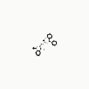 CN1C(=O)[C@@H](NC(=O)[C@@H](CCC(F)(F)F)[C@H](CO)c2ccccc2)N=C(c2ccccc2)c2ccccc21